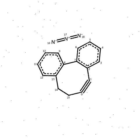 C1#Cc2ccccc2-c2ccccc2CC1.[N-]=[N+]=[N-]